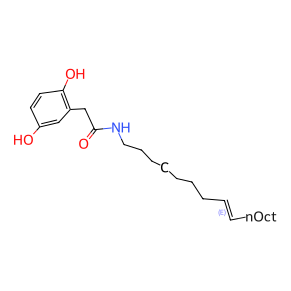 CCCCCCCC/C=C/CCCCCCCNC(=O)Cc1cc(O)ccc1O